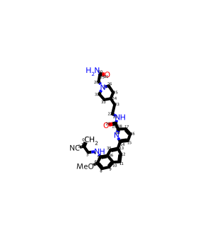 C=C(C#N)CNc1c(OC)ccc2ccc(-c3cccc(C(=O)NCCC4CCN(CC(N)=O)CC4)n3)cc12